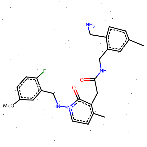 COc1ccc(F)c(CNn2ccc(C)c(CC(=O)NCc3cc(C)ccc3CN)c2=O)c1